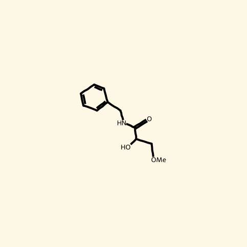 COCC(O)C(=O)NCc1ccccc1